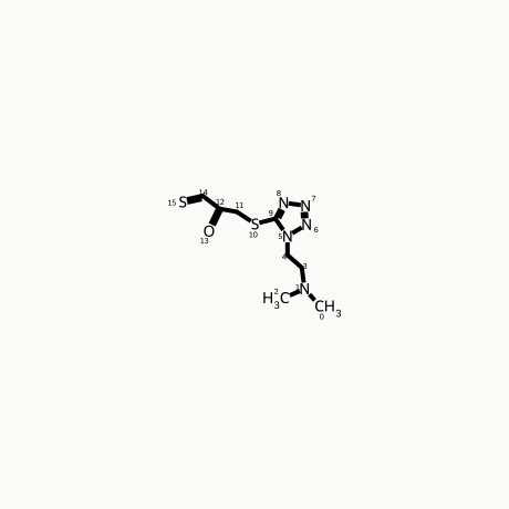 CN(C)CCn1nnnc1SCC(=O)C=S